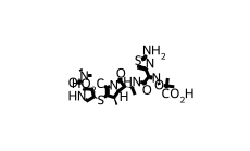 CC(NC(=O)/C(=N\OC(C)(C)C(=O)O)c1csc(N)n1)[C@H]1C(=O)N2C(C(=O)O)=C(S[C@@H]3CN[C@H](C(=O)N(C)C)C3)[C@H](C)[C@H]12